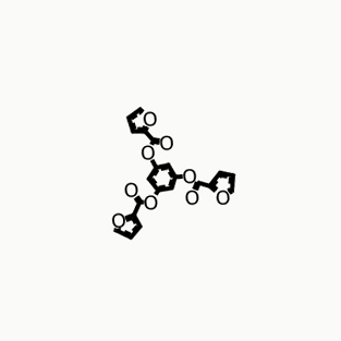 O=C(Oc1cc(OC(=O)c2ccco2)cc(OC(=O)c2ccco2)c1)c1ccco1